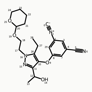 [C-]#[N+]c1cc(C#N)cc(Oc2c(C(C)O)nn(CCOC3CCCCO3)c2CC)c1